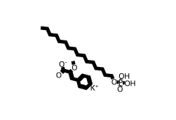 CCCCCCCCCCCCCCCCOP(=O)(O)O.COC(=Cc1ccccc1)C(=O)[O-].[K+]